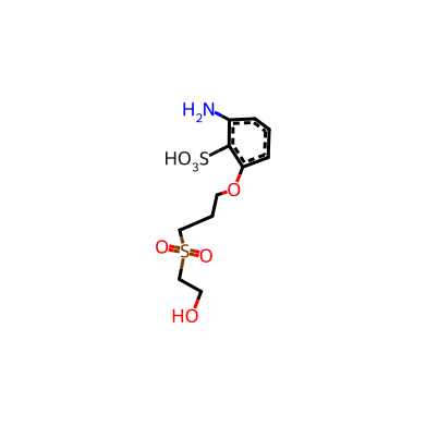 Nc1cccc(OCCCS(=O)(=O)CCO)c1S(=O)(=O)O